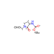 CC(C)(C)OC(=O)NC1CCN(C[C]=O)C1=O